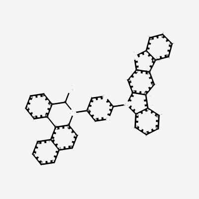 OC1c2ccccc2-c2c(ccc3ccccc23)N1c1cnc(-n2c3ccccc3c3cc4c(cc32)oc2ccccc24)nc1